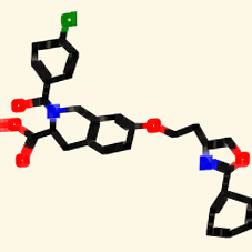 O=C(O)C1Cc2ccc(OCCc3coc(-c4ccccc4)n3)cc2CN1C(=O)c1ccc(Cl)cc1